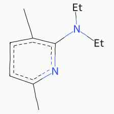 CCN(CC)c1nc(C)ccc1C